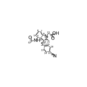 CC(=O)NC1C=CC=C2C1=C(Sc1ccc(C#N)cc1)C(C)N2CC(=O)O